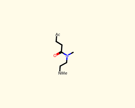 CNCCN(C)C(=O)CCC(C)=O